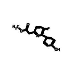 COC(=O)Cc1ccc(F)c(-c2ccc(O)cc2)n1